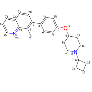 Cc1c(-c2ccc(OC3CCN(C4CCC4)CC3)cc2)ccc2cccnc12